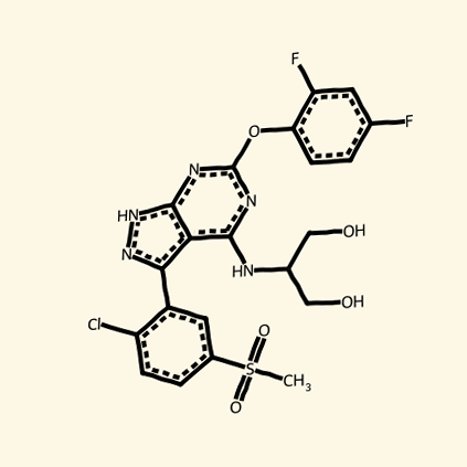 CS(=O)(=O)c1ccc(Cl)c(-c2n[nH]c3nc(Oc4ccc(F)cc4F)nc(NC(CO)CO)c23)c1